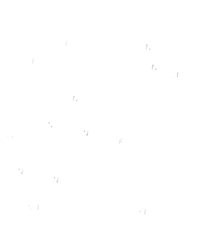 Cc1nc2c(-c3ccc(Cl)cc3F)nc(N3C[C@@H](c4cnn(C)c4)OC(C)(C)C3)nc2c(=O)n1C